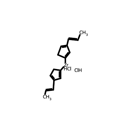 CC=CC1=CC[C]([Zr][C]2=CC(C=CC)=CC2)=C1.Cl.Cl